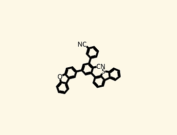 N#Cc1cccc(-c2cc(-c3ccc4oc5ccccc5c4c3)cc(-c3cccc4c3sc3ccccc34)c2C#N)c1